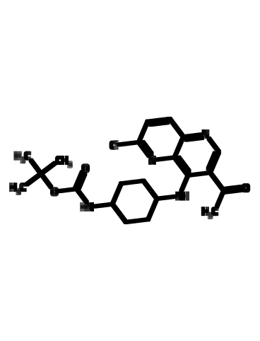 CC(=O)c1cnc2ccc(Cl)nc2c1NC1CCC(NC(=O)OC(C)(C)C)CC1